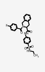 CCNS(=O)(=O)c1ccc(NC(=O)C2Cc3ccccc3CN2C(=O)c2ccc(F)cc2)cc1